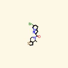 CC1c2ccsc2CCN1C(=O)c1cc2ccc(Br)cn2n1